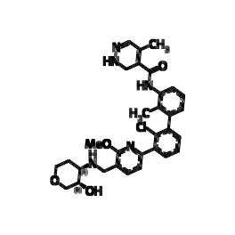 COc1nc(-c2cccc(-c3cccc(NC(=O)C4=C(C)C=NNC4)c3C)c2Cl)ccc1CN[C@@H]1CCOC[C@@H]1O